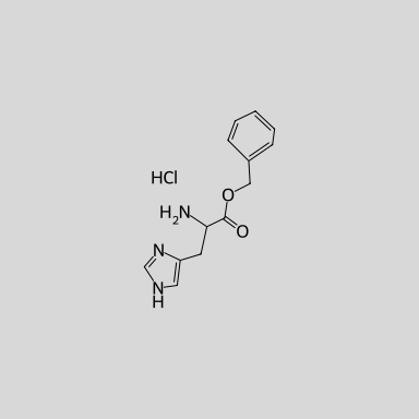 Cl.NC(Cc1c[nH]cn1)C(=O)OCc1ccccc1